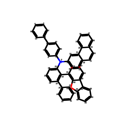 c1ccc(-c2ccc(N(c3ccc4ccc5ccccc5c4c3)c3cccc(-c4ccccc4)c3-c3cccc4c3oc3ccccc34)cc2)cc1